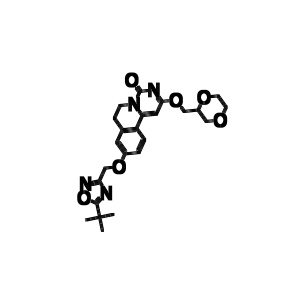 CC(C)(C)c1nc(COc2ccc3c(c2)CCn2c-3cc(OCC3COCCO3)nc2=O)no1